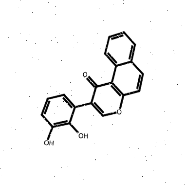 O=c1c(-c2cccc(O)c2O)coc2ccc3ccccc3c12